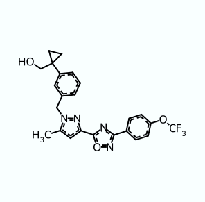 Cc1cc(-c2nc(-c3ccc(OC(F)(F)F)cc3)no2)nn1Cc1cccc(C2(CO)CC2)c1